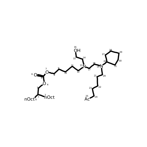 CCCCCCCCC(CCCCCCCC)COC(=O)OCCCCCN(CCO)CCN(CCCCCC(C)=O)C1CCCCC1